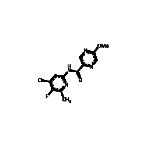 COc1cnc(C(=O)Nc2cc(Cl)c(F)c(C)n2)cn1